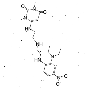 CCN(CC)c1cc([N+](=O)[O-])ccc1NCCNCCNc1cc(=O)n(C)c(=O)n1C